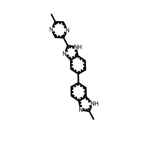 Cc1cnc(-c2nc3cc(-c4ccc5nc(C)[nH]c5c4)ccc3[nH]2)cn1